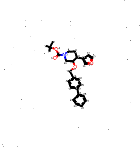 CC(C)(C)OC(=O)N1CCC(c2ccoc2)C(OCc2ccc(-c3ccccc3)cc2)C1